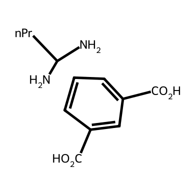 CCCC(N)N.O=C(O)c1cccc(C(=O)O)c1